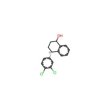 OC1CC[C@@H](c2ccc(Cl)c(Cl)c2)c2ccccc21